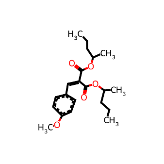 CCCC(C)OC(=O)C(=Cc1ccc(OC)cc1)C(=O)OC(C)CCC